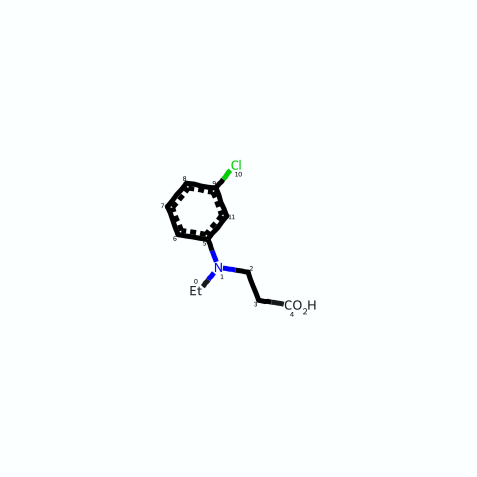 CCN(CCC(=O)O)c1cccc(Cl)c1